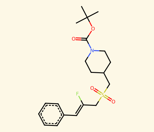 CC(C)(C)OC(=O)N1CCC(CS(=O)(=O)CC(F)=Cc2ccccc2)CC1